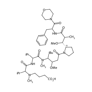 CCC(C)C(C(CC(=O)N1CCC[C@H]1C(OC)C(C)C(=O)NC(Cc1ccccc1)C(=O)N1CCOCC1)OC)N(C)C(=O)C(NC(=O)C(C(C)C)N(C)CCCC(=O)O)C(C)C